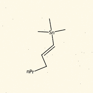 CCCC/C=[CH]/[Sn]([CH3])([CH3])[CH3]